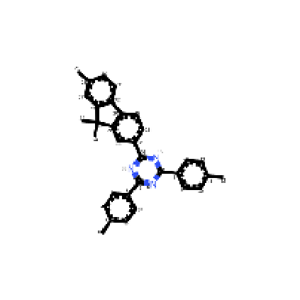 Cc1ccc(-c2nc(-c3ccc(C)cc3)nc(-c3ccc4c(c3)C(C)(C)c3cc(C)ccc3-4)n2)cc1